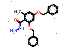 Cc1cc(OCc2ccccc2)cc(OCc2ccccc2)c1C(=O)NN